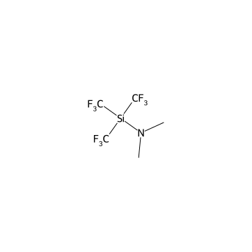 CN(C)[Si](C(F)(F)F)(C(F)(F)F)C(F)(F)F